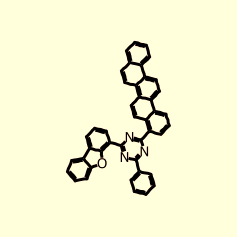 c1ccc(-c2nc(-c3cccc4c3ccc3c4ccc4c5ccccc5ccc43)nc(-c3cccc4c3oc3ccccc34)n2)cc1